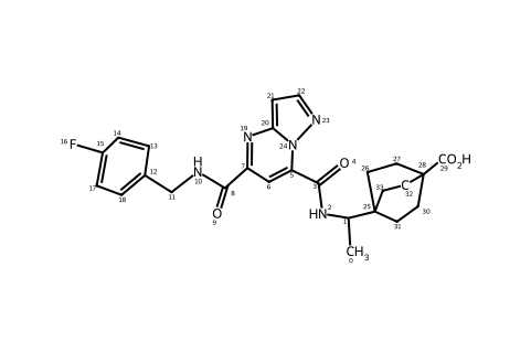 CC(NC(=O)c1cc(C(=O)NCc2ccc(F)cc2)nc2ccnn12)C12CCC(C(=O)O)(CC1)CC2